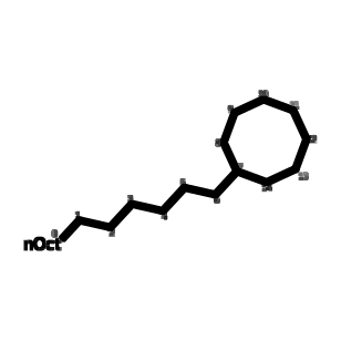 CCCCCCCCCCCCCCC1CCCCCCC1